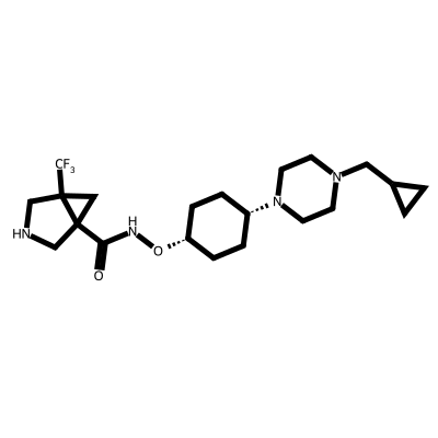 O=C(NO[C@H]1CC[C@@H](N2CCN(CC3CC3)CC2)CC1)C12CNCC1(C(F)(F)F)C2